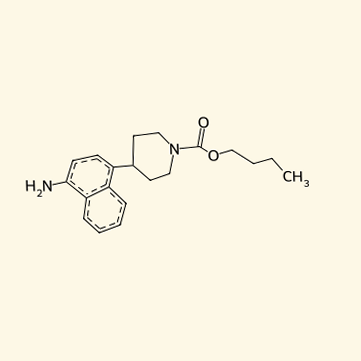 CCCCOC(=O)N1CCC(c2ccc(N)c3ccccc23)CC1